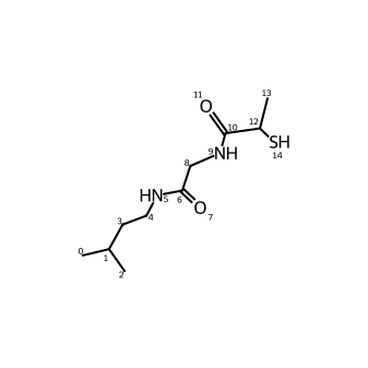 CC(C)CCNC(=O)CNC(=O)C(C)S